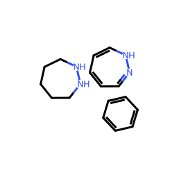 C1=CC=NNC=C1.C1CCNNCC1.c1ccccc1